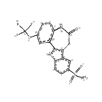 NS(=O)(=O)c1ccc2[nH]c3c(c2c1)CC(=O)Nc1ccc(OC(F)(F)F)cc1-3